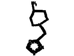 NC1CCN(Cc2nnco2)CC1